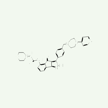 O=C(Nc1cccc2c1C(=O)c1c-2n[nH]c1-c1ccc(CN2CCN(c3ccncc3)CC2)cc1)NN1CCOCC1